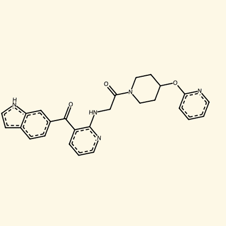 O=C(c1ccc2cc[nH]c2c1)c1cccnc1NCC(=O)N1CCC(Oc2ccccn2)CC1